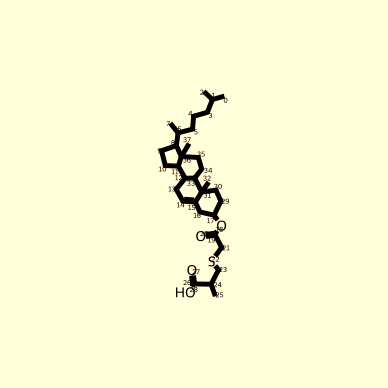 CC(C)CCCC(C)C1CCC2C3CC=C4CC(OC(=O)CSCC(C)C(=O)O)CCC4(C)C3CCC12C